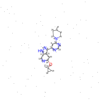 CC1CCN(c2cc(-c3n[nH]c4cnc(OC5(C)CC5)cc34)ncn2)CC1